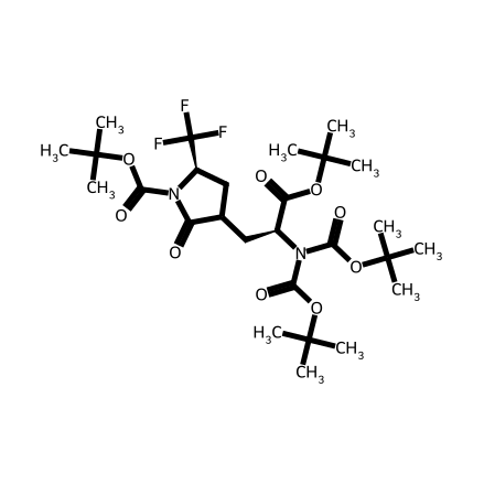 CC(C)(C)OC(=O)[C@H](CC1C[C@H](C(F)(F)F)N(C(=O)OC(C)(C)C)C1=O)N(C(=O)OC(C)(C)C)C(=O)OC(C)(C)C